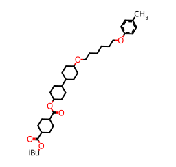 [CH2+][C-](CC)OC(=O)C1CCC(C(=O)OC2CCC(C3CCC(OCCCCCCOc4ccc(C)cc4)CC3)CC2)CC1